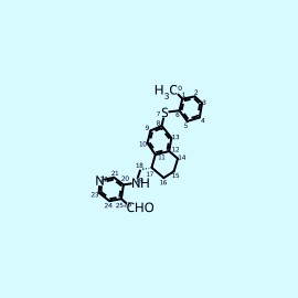 Cc1ccccc1Sc1ccc2c(c1)CCC[C@@H]2CNc1cnccc1C=O